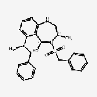 C[C@@H]1CNc2ncnc(N(C)Cc3ccccc3)c2[C@H](O)N1S(=O)(=O)Cc1ccccc1